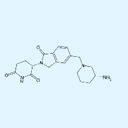 N[C@@H]1CCCN(Cc2ccc3c(c2)CN(C2CCC(=O)NC2=O)C3=O)C1